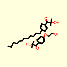 CC(C)(O)C(=O)c1ccc(OCCO)cc1.CCCCCCCCCCCCc1ccc(C(=O)C(C)(C)O)cc1